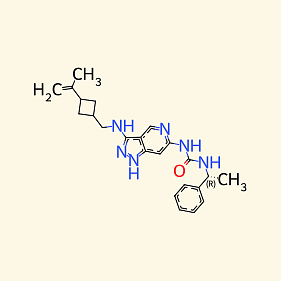 C=C(C)C1CC(CNc2n[nH]c3cc(NC(=O)N[C@H](C)c4ccccc4)ncc23)C1